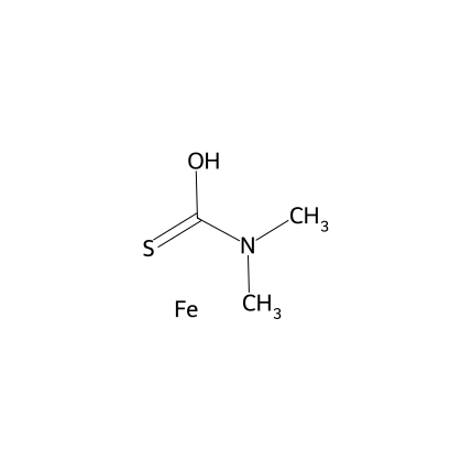 CN(C)C(O)=S.[Fe]